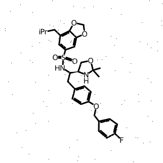 CC(C)Cc1cc(S(=O)(=O)NC(Cc2ccc(OCc3ccc(F)cc3)cc2)[C@H]2COC(C)(C)N2)cc2c1OCO2